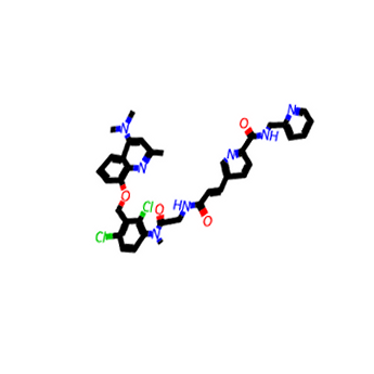 Cc1cc(N(C)C)c2cccc(OCc3c(Cl)ccc(N(C)C(=O)CNC(=O)C=Cc4ccc(C(=O)NCc5ccccn5)nc4)c3Cl)c2n1